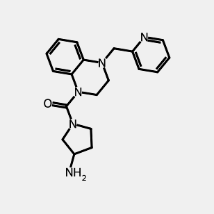 NC1CCN(C(=O)N2CCN(Cc3ccccn3)c3ccccc32)C1